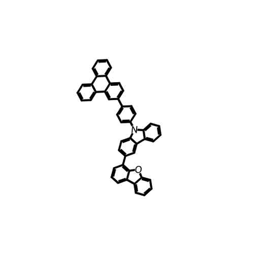 c1ccc2c(c1)oc1c(-c3ccc4c(c3)c3ccccc3n4-c3ccc(-c4ccc5c6ccccc6c6ccccc6c5c4)cc3)cccc12